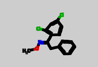 CO/N=C(\Cc1ccccc1)c1ccc(Cl)cc1Cl